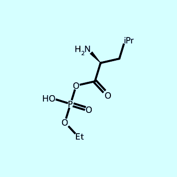 CCOP(=O)(O)OC(=O)[C@@H](N)CC(C)C